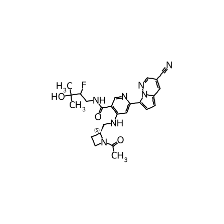 CC(=O)N1CC[C@H]1CNc1cc(-c2ccc3cc(C#N)cnn23)ncc1C(=O)NCC(F)C(C)(C)O